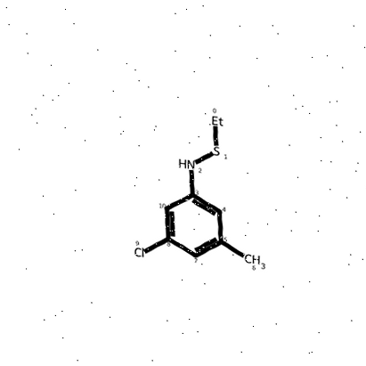 CCSNc1cc(C)cc(Cl)c1